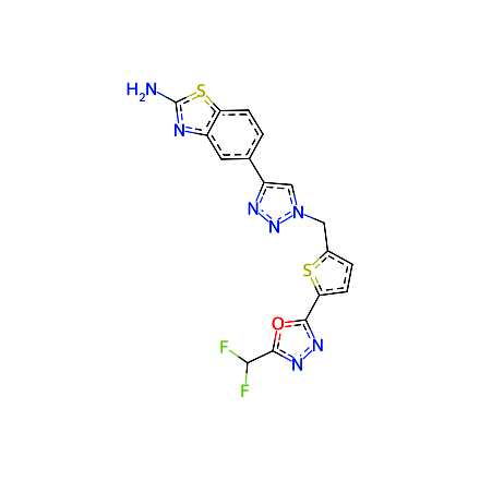 Nc1nc2cc(-c3cn(Cc4ccc(-c5nnc(C(F)F)o5)s4)nn3)ccc2s1